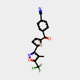 Cc1c(-c2ccc(C(=O)c3ccc(C#N)cc3)s2)noc1C(F)(F)F